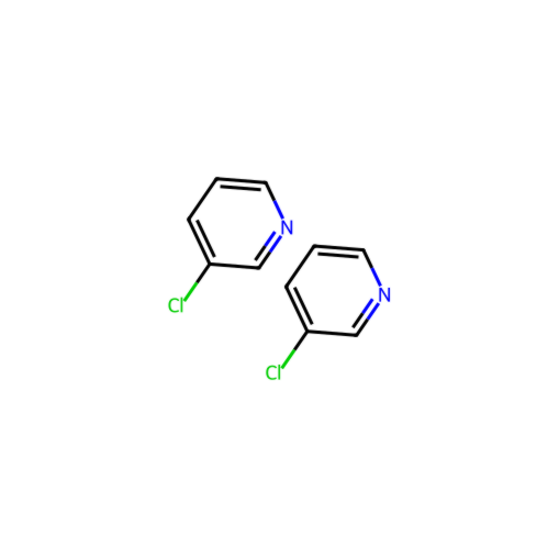 Clc1cccnc1.Clc1cccnc1